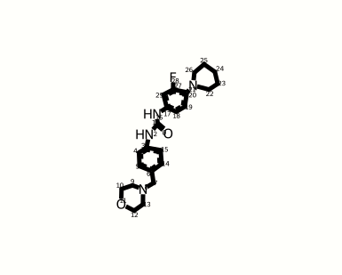 O=C(Nc1ccc(CN2CCOCC2)cc1)Nc1ccc(N2CCCCC2)c(F)c1